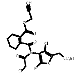 C#CCOC(=O)C1=C(C(=O)N(C(=O)CCl)c2c(F)sc(CC(=O)OCC)c2Cl)CCCC1